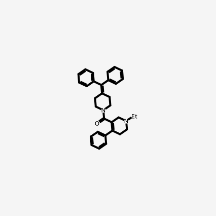 CCN1CCC(c2ccccc2)=C(C(=O)N2CCC(=C(c3ccccc3)c3ccccc3)CC2)C1